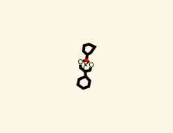 C1CCC(C23COC(C4CCCCC4)(OC2)OC3)CC1